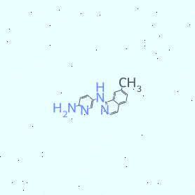 Cc1ccc2ccnc(Nc3ccc(N)nc3)c2c1